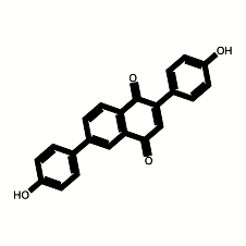 O=C1C=C(c2ccc(O)cc2)C(=O)c2ccc(-c3ccc(O)cc3)cc21